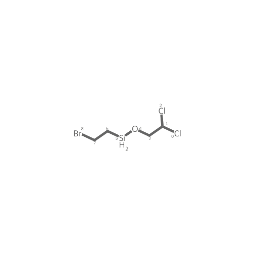 ClC(Cl)CO[SiH2]CCBr